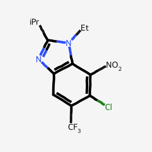 CCn1c(C(C)C)nc2cc(C(F)(F)F)c(Cl)c([N+](=O)[O-])c21